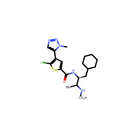 Cn1nncc1-c1cc(C(=O)N[C@@H](CC2CCCCC2)C(NC(=O)O)C(C)(C)C)sc1Cl